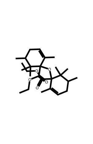 CCOC(=O)C1(OC2(C(=O)OCC)C(C)=CCC(C)C2(C)C)C(C)=CCC(C)C1(C)C